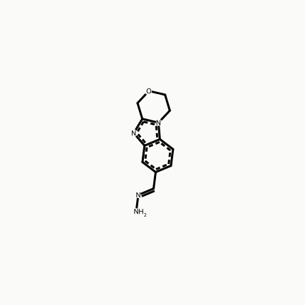 NN=Cc1ccc2c(c1)nc1n2CCOC1